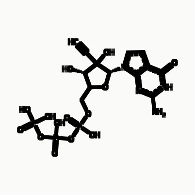 C#CC1(O)[C@@H](O)C(COP(=O)(O)OP(=O)(O)OP(=O)(O)O)O[C@H]1n1ccc2c(=O)[nH]c(N)nc21